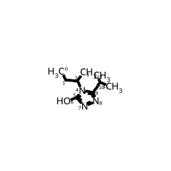 CCC(C)n1c(O)nnc1C(C)C